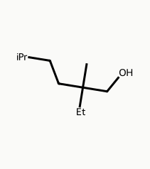 CCC(C)(CO)CCC(C)C